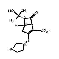 CC(C)(O)[C@@H]1C(=O)N2C(C(=O)O)=C(S[C@H]3CCNC3)C[C@H]12